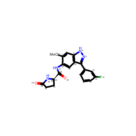 COc1cc2[nH]nc(-c3cccc(F)c3)c2cc1NC(=O)[C@H]1CCC(=O)N1